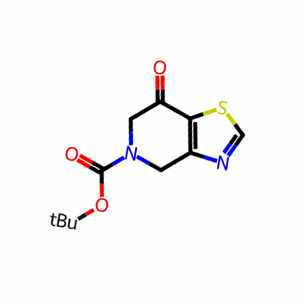 CC(C)(C)OC(=O)N1CC(=O)c2scnc2C1